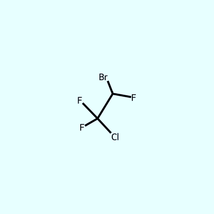 F[C](Br)C(F)(F)Cl